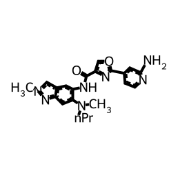 CCCN(C)c1cc2nn(C)cc2cc1NC(=O)c1coc(-c2ccnc(N)c2)n1